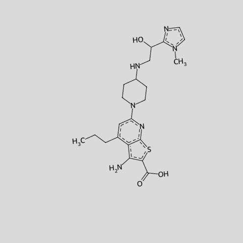 CCCc1cc(N2CCC(NCC(O)c3nccn3C)CC2)nc2sc(C(=O)O)c(N)c12